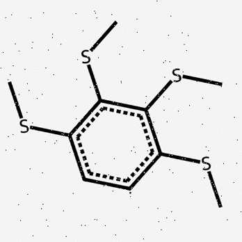 CSc1[c]cc(SC)c(SC)c1SC